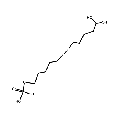 O=P(O)(O)OCCCCCCCCCCCC(O)O